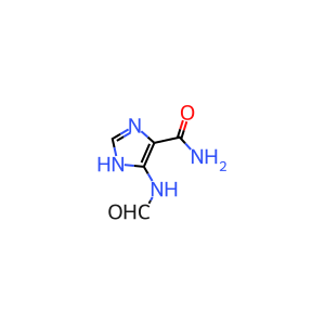 NC(=O)c1nc[nH]c1NC=O